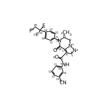 C[C@H]1Cn2ncc(C(=O)Nc3cccc(C#N)c3)c2C(=O)N1c1ccc(C(F)(F)CF)cc1